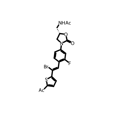 CC(=O)NC[C@H]1CN(c2ccc(/C=C(\Br)c3ccc(C(C)=O)s3)c(F)c2)C(=O)O1